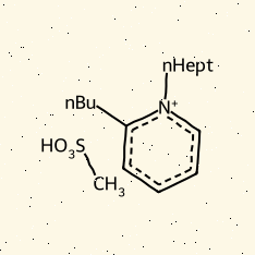 CCCCCCC[n+]1ccccc1CCCC.CS(=O)(=O)O